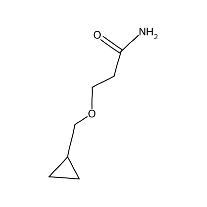 NC(=O)CCOCC1CC1